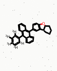 [2H]c1c([2H])c([2H])c(-c2c3ccccc3c(-c3ccc4c(c3)C3CCCCC3O4)c3ccccc23)c([2H])c1[2H]